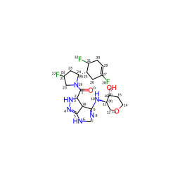 O=C(C1NN=C2NCN=C(N[C@@H]3COCC[C@H]3O)C21)N1C[C@@H](F)C[C@@H]1C1CC(F)=CCC1F